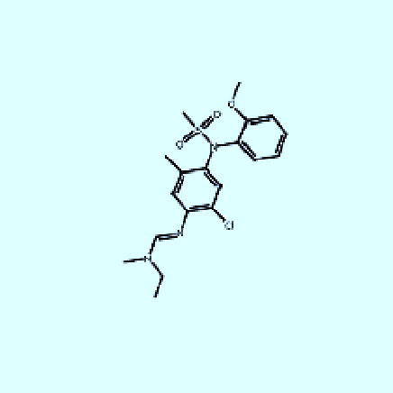 CCN(C)C=Nc1cc(C)c(N(c2ccccc2OC)S(C)(=O)=O)cc1Cl